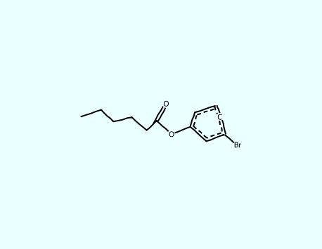 CCCCCC(=O)Oc1cccc(Br)c1